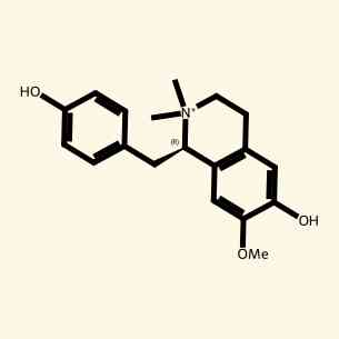 COc1cc2c(cc1O)CC[N+](C)(C)[C@@H]2Cc1ccc(O)cc1